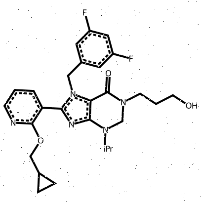 CC(C)N1CN(CCCO)C(=O)c2c1nc(-c1cccnc1OCC1CC1)n2Cc1cc(F)cc(F)c1